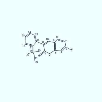 C=C1Cc2cc(C)ccc2C=C1c1ccccc1C(C)(C)F